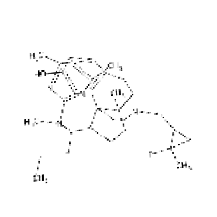 CCCC(C1CCC2(C)C3Cc4ccc(O)cc4C12CCN3CC1CC1(C)F)N(C)c1nc(C)cc(C)n1